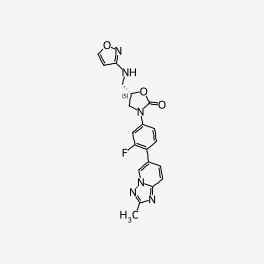 Cc1nc2ccc(-c3ccc(N4C[C@H](CNc5ccon5)OC4=O)cc3F)cn2n1